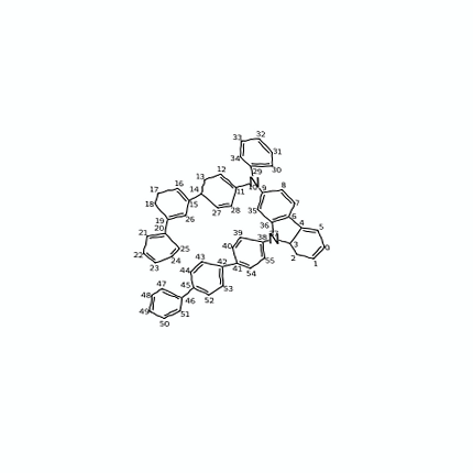 C1=CCC2C(=C1)c1ccc(N(C3=CCC(C4=CCCC(c5ccccc5)=C4)C=C3)c3ccccc3)cc1N2c1ccc(-c2ccc(-c3ccccc3)cc2)cc1